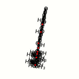 CC1C(OC2C(C(=O)O)OC(OC3C(COS(=O)(=O)O)OC(OC4C(C(=O)O)OC(OCCCCCCNC(=O)CCOCCOCCOCCNC(=O)CCOCCCOCCC(=O)NCCOCCOCCOCCC=O)C(O)C4O)C(C)C3O)C(O)C2O)OC(COS(=O)(=O)O)C(O)C1O